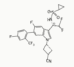 N#CC1CC(n2cc([C@H](NS(=O)(=O)C3CC3)C(F)F)c3cc(F)c(-c4ccc(F)cc4C(F)(F)F)cc32)C1